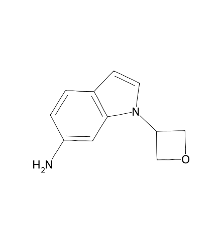 Nc1ccc2ccn(C3COC3)c2c1